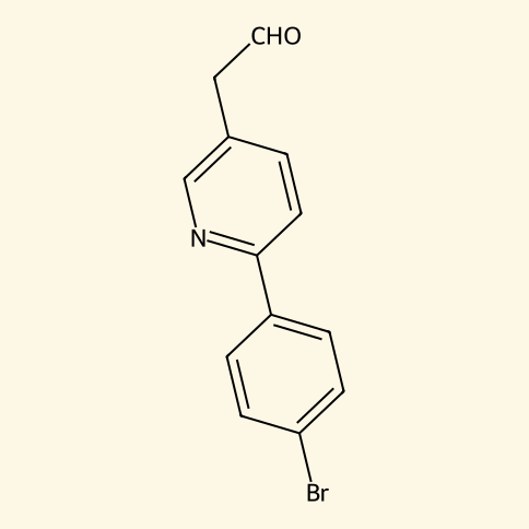 O=CCc1ccc(-c2ccc(Br)cc2)nc1